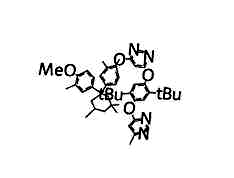 COc1ccc(C2(c3ccc(Oc4cc(Oc5cc(C(C)(C)C)c(Oc6cc(C)ncn6)cc5C(C)(C)C)ncn4)c(C)c3)CC(C)CC(C)(C)C2)cc1C